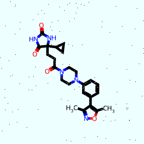 Cc1noc(C)c1-c1cccc(N2CCN(C(=O)CCC3(C4CC4)NC(=O)NC3=O)CC2)c1